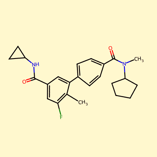 Cc1c(F)cc(C(=O)NC2CC2)cc1-c1ccc(C(=O)N(C)C2CCCC2)cc1